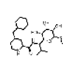 CS[C@H]1O[C@H]([C@H](NC(=O)[C@@H]2C[C@H](CC3CCCCC3)CCN2)C(C)C)[C@H](O)[C@H](O)[C@H]1O